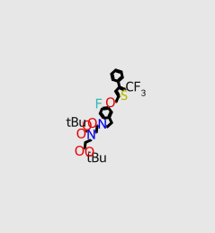 CC(C)(C)OC(=O)CCN(CC(=O)N1CCc2cc(OCc3cc(-c4ccccc4)c(C(F)(F)F)s3)c(F)cc21)C(=O)OC(C)(C)C